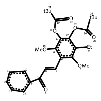 CCc1c(OC)c(C=CC(=O)c2ccccc2)c(OC)c(OC(=O)C(C)(C)C)c1OC(=O)C(C)(C)C